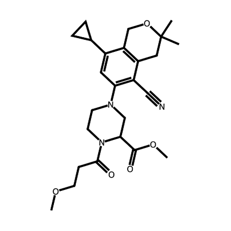 COCCC(=O)N1CCN(c2cc(C3CC3)c3c(c2C#N)CC(C)(C)OC3)CC1C(=O)OC